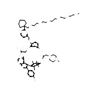 COCCOCCOCCOCCOCCOCC1(c2nccc(COc3ccc4cc3C[C@H](C(=O)O)Oc3ncnc5sc(-c6ccc(F)cc6)c(c35)-c3c(C)c(Cl)c(c(Cl)c3C)O[C@H](CN3CCN(C)CC3)CO4)n2)CCCCC1